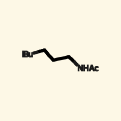 CCC(C)CCCNC(C)=O